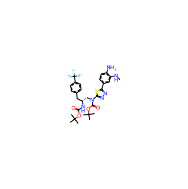 CNc1cc(-c2nnc(N(C[C@@H](Cc3ccc(C(F)(F)F)cc3)NC(=O)OC(C)(C)C)C(=O)OC(C)(C)C)s2)ccc1N